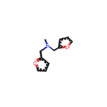 CN(Cc1ccco1)Cc1ccco1